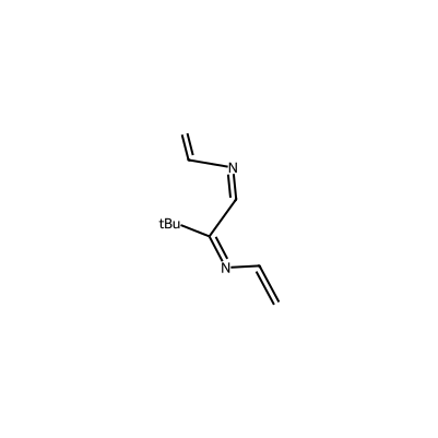 C=C/N=C\C(=N/C=C)C(C)(C)C